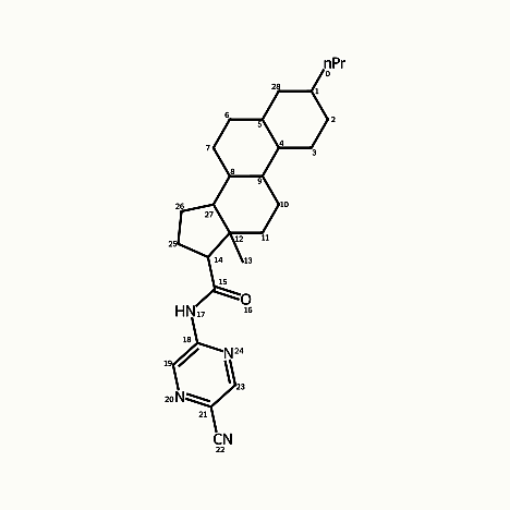 CCCC1CCC2C(CCC3C2CCC2(C)C(C(=O)Nc4cnc(C#N)cn4)CCC32)C1